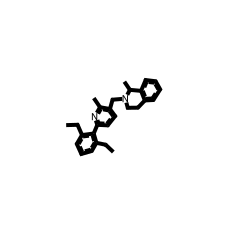 CCc1cccc(CC)c1-c1ccc(CN2CCc3ccccc3C2C)c(C)n1